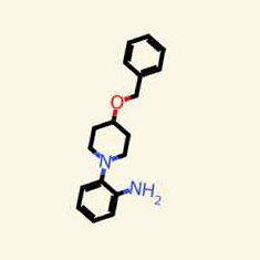 Nc1ccccc1N1CCC(OCc2ccccc2)CC1